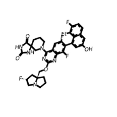 CCc1c(F)ccc2cc(O)cc(-c3c(F)cc4c(N5CCCC6(C5)NC(=O)NC6=O)nc(OC[C@@]56CCCN5C[C@H](F)C6)nc4c3F)c12